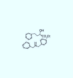 CCOC(=O)[C@H](O)CCc1ccccc1.c1ccc(CNCc2ccccc2)cc1